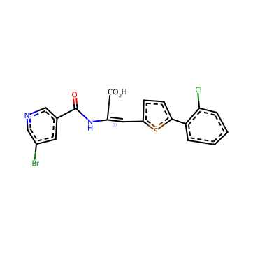 O=C(O)/C(=C\c1ccc(-c2ccccc2Cl)s1)NC(=O)c1cncc(Br)c1